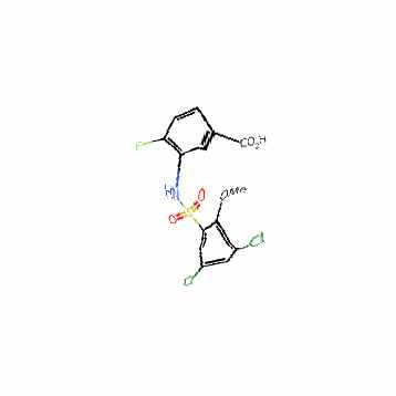 COc1c(Cl)cc(Cl)cc1S(=O)(=O)Nc1cc(C(=O)O)ccc1F